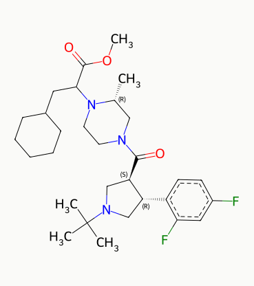 COC(=O)C(CC1CCCCC1)N1CCN(C(=O)[C@@H]2CN(C(C)(C)C)C[C@H]2c2ccc(F)cc2F)C[C@H]1C